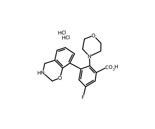 Cl.Cl.O=C(O)c1cc(F)cc(-c2cccc3c2OCNC3)c1N1CCOCC1